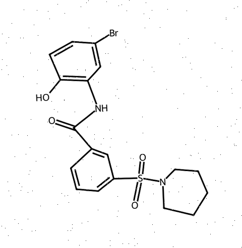 O=C(Nc1cc(Br)ccc1O)c1cccc(S(=O)(=O)N2CCCCC2)c1